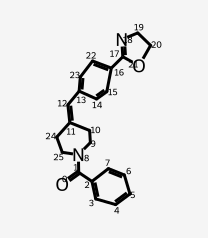 O=C(c1ccccc1)N1CCC(=Cc2ccc(C3=NCCO3)cc2)CC1